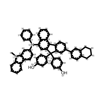 Cn1c2ccccc2c2ccc(N(c3ccccc3)c3cc4c(c5ccccc35)-c3ccc(-c5ccc6c(c5)CCCC6)cc3C4(c3ccc(O)cc3)c3ccc(O)cc3)cc21